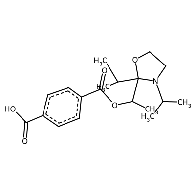 CC(C)N1CCOC1(C(C)C)C(C)OC(=O)c1ccc(C(=O)O)cc1